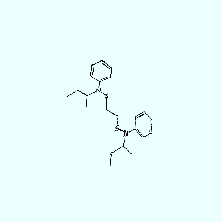 CCC(C)N(SCCSN(c1ccccc1)C(C)CC)c1ccccc1